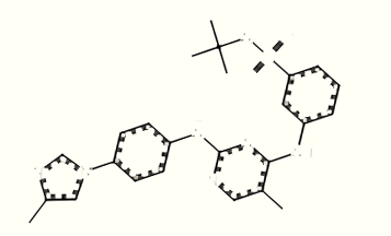 Cc1cn(-c2ccc(Nc3ncc(C)c(Nc4cccc(S(=O)(=O)NC(C)(C)C)c4)n3)cc2)cn1